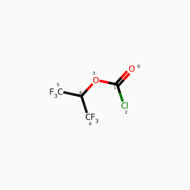 O=C(Cl)OC(C(F)(F)F)C(F)(F)F